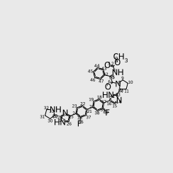 COC(=O)N[C@@H](C(=O)N1CCC[C@H]1c1ncc(-c2ccc(-c3ccc(-c4c[nH]c([C@@H]5CCCN5)n4)c(F)c3)cc2F)[nH]1)c1ccccc1